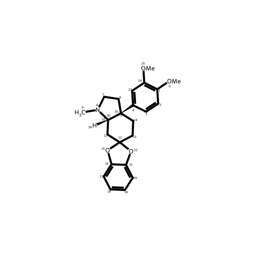 COc1ccc([C@]23CCN(C)[C@H]2CC2(CC3)Oc3ccccc3O2)cc1OC